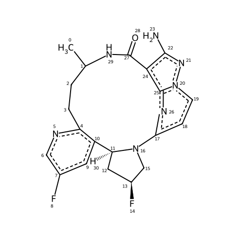 CC1CCc2ncc(F)cc2[C@@H]2C[C@H](F)CN2c2ccn3nc(N)c(c3n2)C(=O)N1